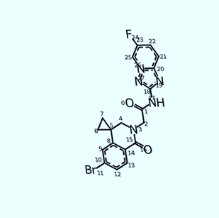 O=C(CN1CC2(CC2)c2cc(Br)ccc2C1=O)Nc1nc2ccc(F)cn2n1